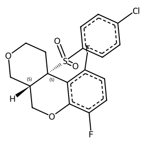 O=S(=O)(c1ccc(Cl)cc1)[C@@]12CCOC[C@H]1COc1c(F)ccc(F)c12